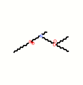 CCCCCCCCCCCOC(=O)CCCCCN(CCCC)CCCCCCCC(=O)OC(CCCCCCCC)CCCCCCCC